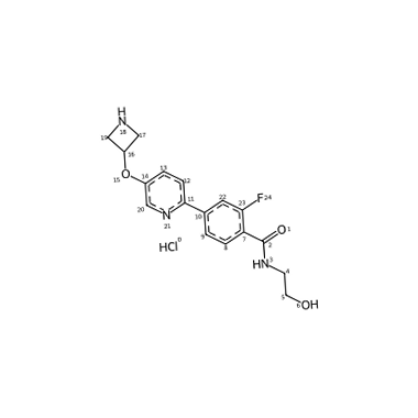 Cl.O=C(NCCO)c1ccc(-c2ccc(OC3CNC3)cn2)cc1F